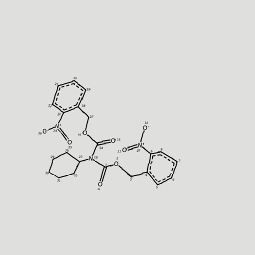 O=C(OCc1ccccc1[N+](=O)[O-])N(C(=O)OCc1ccccc1[N+](=O)[O-])C1CCCCC1